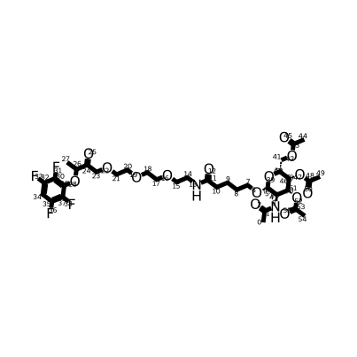 CC(=O)N[C@H]1[C@H](OCCCCC(=O)NCCOCCOCCOCC(=O)C(C)Oc2c(F)c(F)cc(F)c2F)O[C@H](COC(C)=O)[C@H](OC(C)=O)[C@@H]1OC(C)=O